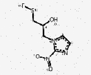 O=[N+]([O-])c1nccn1CC(O)CSF